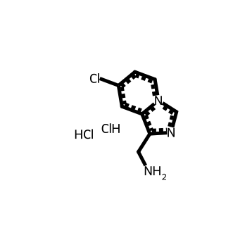 Cl.Cl.NCc1ncn2ccc(Cl)cc12